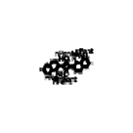 CCCCCC1(CCCCC)N=c2/c(=C3/C(=O)C(c4ccc5cccc6c5c4NC(CCCCC)(CCCCC)N6)=C3O)ccc3cccc(c23)N1